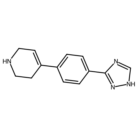 C1=C(c2ccc(-c3nc[nH]n3)cc2)CCNC1